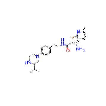 Cc1ccc2c(N)c(C(=O)NCCc3ccc(N4CCN[C@H](C(C)C)C4)cc3)sc2n1